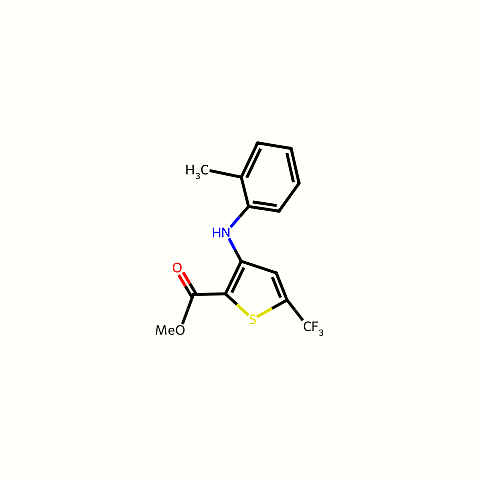 COC(=O)c1sc(C(F)(F)F)cc1Nc1ccccc1C